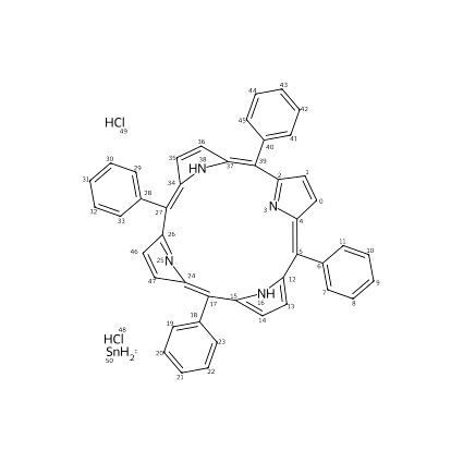 C1=Cc2nc1c(-c1ccccc1)c1ccc([nH]1)c(-c1ccccc1)c1nc(c(-c3ccccc3)c3ccc([nH]3)c2-c2ccccc2)C=C1.Cl.Cl.[SnH2]